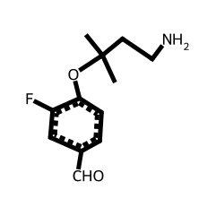 CC(C)(CCN)Oc1ccc(C=O)cc1F